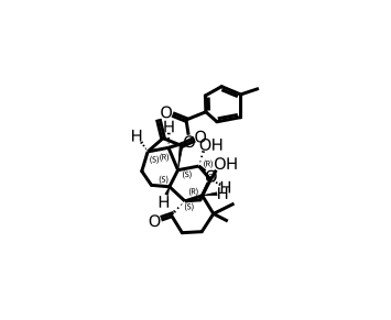 C=C1C(=O)[C@]23[C@H](OC(=O)c4ccc(C)cc4)[C@H]1CC[C@H]2[C@@]12CO[C@@]3(O)[C@@H](O)[C@@H]1C(C)(C)CCC2=O